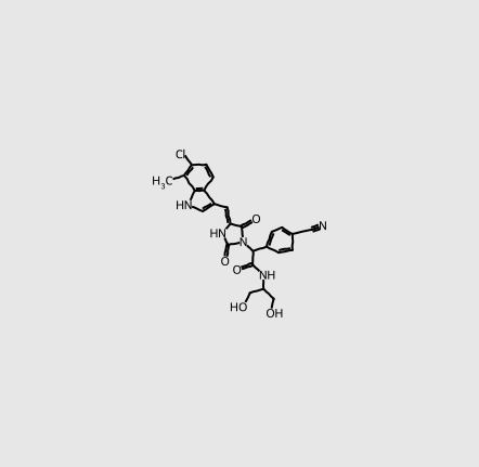 Cc1c(Cl)ccc2c(/C=C3\NC(=O)N(C(C(=O)NC(CO)CO)c4ccc(C#N)cc4)C3=O)c[nH]c12